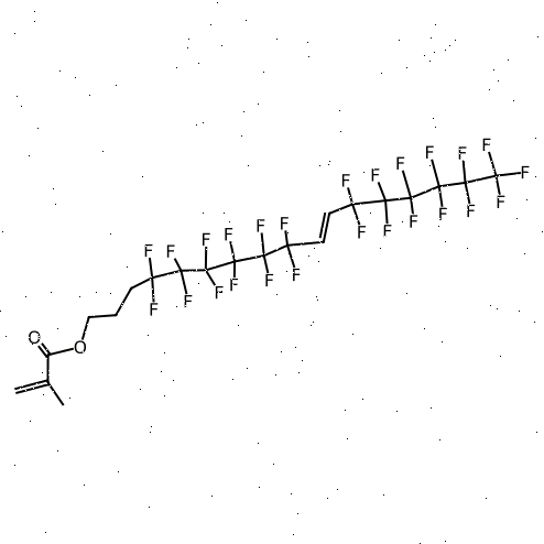 C=C(C)C(=O)OCCCC(F)(F)C(F)(F)C(F)(F)C(F)(F)C(F)(F)C(F)(F)C=CC(F)(F)C(F)(F)C(F)(F)C(F)(F)C(F)(F)C(F)(F)F